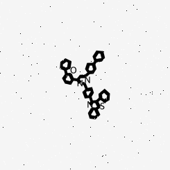 c1ccc(-c2ccc(-c3cc(-c4cccc5c4oc4ccccc45)nc(-c4ccc(-c5nc6ccccc6c6sc7ccccc7c56)cc4)n3)cc2)cc1